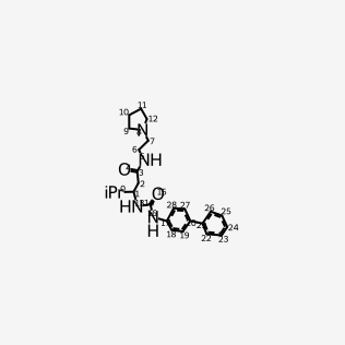 CC(C)C(CC(=O)NCCN1CCCC1)NC(=O)Nc1ccc(-c2ccccc2)cc1